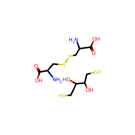 NC(CSSCC(N)C(=O)O)C(=O)O.OC(CS)C(O)CS